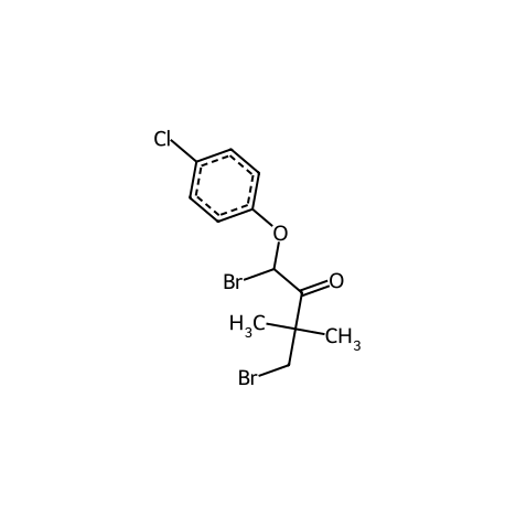 CC(C)(CBr)C(=O)C(Br)Oc1ccc(Cl)cc1